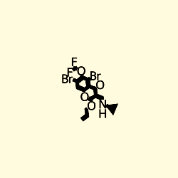 C=CCOC(=O)C(=CNC1CC1)C(=O)c1ccc(Br)c(OC(F)F)c1Br